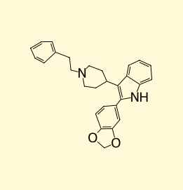 c1ccc(CCN2CCC(c3c(-c4ccc5c(c4)OCO5)[nH]c4ccccc34)CC2)cc1